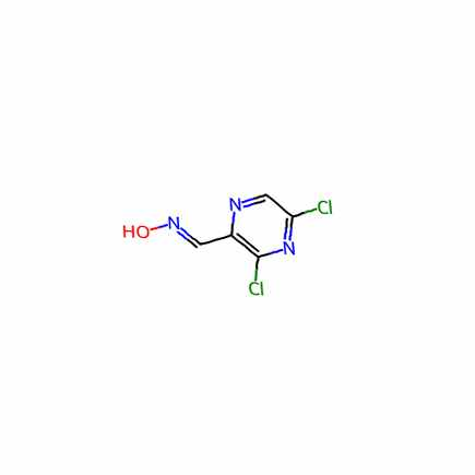 ON=Cc1ncc(Cl)nc1Cl